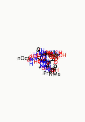 CCCCCCCCS(=O)(=O)NCCNCc1c(O)cc2c(c1O)-c1cc(ccc1O)[C@H]1NC(=O)[C@@H]3NC(=O)[C@H](CC(=O)NC(=O)NC4CC4)NC(=O)[C@H](NC(=O)[C@@H](CC(C)C)NC)[C@H](O)c4ccc(c(C)c4)Oc4cc3cc(c4O[C@@H]3O[C@H](CO)[C@@H](O)[C@H](O)[C@H]3O[C@H]3C[C@](C)(N)[C@H](O)[C@H](C)O3)Oc3ccc(cc3Cl)[C@@H](O)[C@H](NC1=O)C(=O)N[C@@H]2C(=O)NC1C2CC3CC(C2)CC1C3